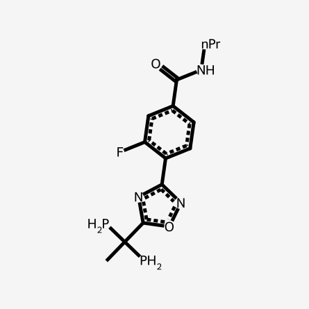 CCCNC(=O)c1ccc(-c2noc(C(C)(P)P)n2)c(F)c1